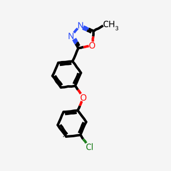 Cc1nnc(-c2cccc(Oc3cc[c]c(Cl)c3)c2)o1